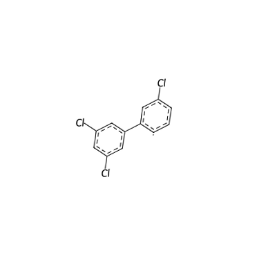 Clc1cc[c]c(-c2cc(Cl)cc(Cl)c2)c1